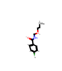 COCCOCNC(=O)c1ccc(F)cc1